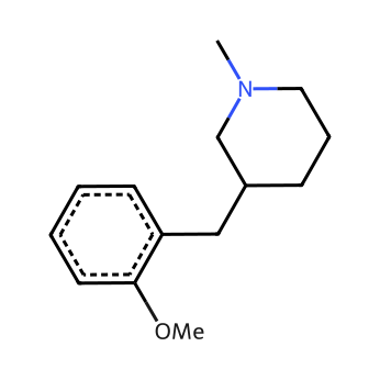 COc1ccccc1CC1CCCN(C)C1